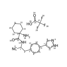 N#CC(Cc1ccc(-c2cn[nH]c2)cc1)NC(=O)C1(N)CCCCC1.O=C(O)C(F)(F)F